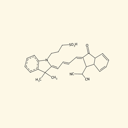 CC1(C)/C(=C/C=C/C=C2/C(=O)C3C=CC=CC3C2C(C#N)C#N)N(CCCS(=O)(=O)O)c2ccccc21